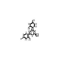 Cc1ccc(N2CN(Cl)CN(c3ccc(C)cc3C)C2)c(C)c1